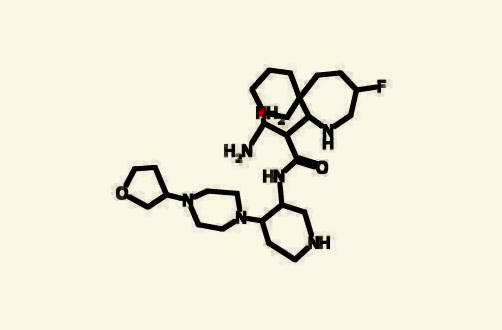 NC(N)C(C(=O)NC1CNCCC1N1CCN(C2CCOC2)CC1)C1NCC(F)CCC12CCCCC2